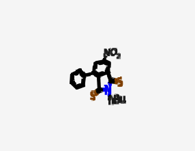 CCCCN1C(=S)c2cc([N+](=O)[O-])cc(-c3ccccc3)c2C1=S